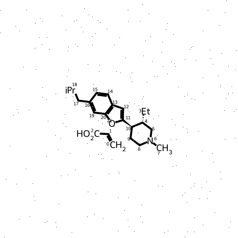 C=CC(=O)O.CC[C@@H]1CN(C)CC[C@H]1c1cc2ccc(CC(C)C)cc2o1